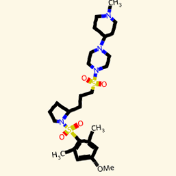 COc1cc(C)c(S(=O)(=O)N2CCCC2CCCS(=O)(=O)N2CCN(C3CCN(C)CC3)CC2)c(C)c1